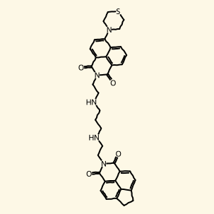 O=C1c2cccc3c(N4CCSCC4)ccc(c23)C(=O)N1CCNCCCNCCN1C(=O)c2ccc3c4c(ccc(c24)C1=O)CC3